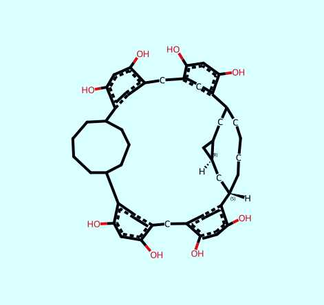 Oc1cc(O)c2cc1Cc1cc(c(O)cc1O)C1CCCC[C@@H](C[C@H]3CC3C1)c1cc(c(O)cc1O)Cc1cc(c(O)cc1O)C1CCCCC2CCC1